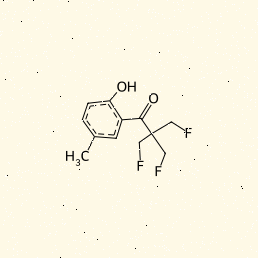 Cc1ccc(O)c(C(=O)C(CF)(CF)CF)c1